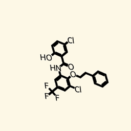 O=C(Nc1cc(C(F)(F)F)cc(Cl)c1OCCc1ccccc1)c1cc(Cl)ccc1O